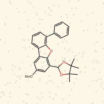 COc1cc(C2OC(C)(C)C(C)(C)O2)c2oc3c(-c4ccccc4)cccc3c2c1